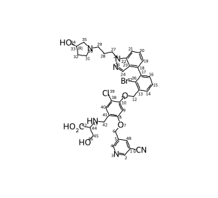 N#Cc1cncc(COc2cc(OCc3cccc(-c4cccc5c4cnn5CCCN4CC[C@@H](O)C4)c3Br)c(Cl)cc2CNC(CO)C(=O)O)c1